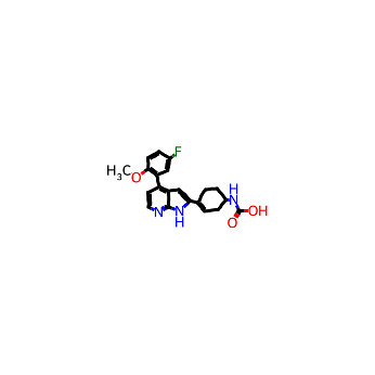 COc1ccc(F)cc1-c1ccnc2[nH]c(C3=CCC(NC(=O)O)CC3)cc12